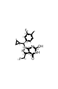 Cc1ccc([C@H](C2CC2)n2nc(CF)c3c(=O)[nH]c(O)nc32)cc1F